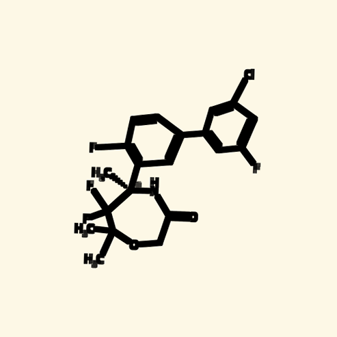 CC1(C)OCC(=O)N[C@](C)(c2cc(-c3cc(F)cc(Cl)c3)ccc2F)C1(F)F